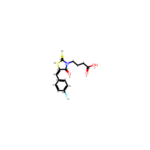 O=C(O)CCCN1C(=O)/C(=C\c2ccc(F)cc2)SC1=S